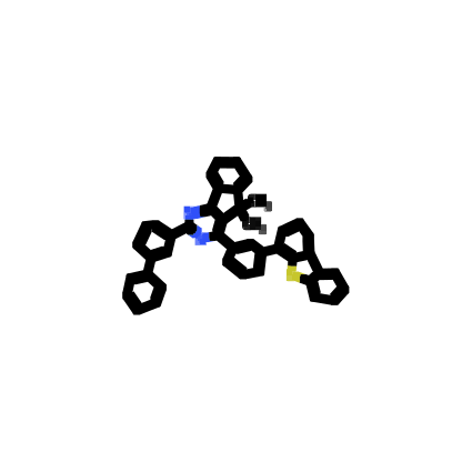 CC1(C)c2ccccc2-c2nc(-c3cccc(-c4ccccc4)c3)nc(-c3cccc(-c4cccc5c4sc4ccccc45)c3)c21